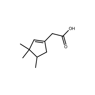 CC1CC(CC(=O)O)=CC1(C)C